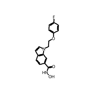 O=C(NO)c1ccc2ccn(CCOc3ccc(F)cc3)c2c1